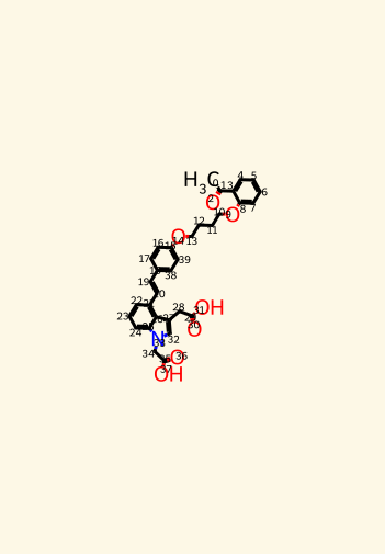 CC(=O)c1ccccc1OCCCCOc1ccc(/C=C/c2cccc3c2c(CC(=O)O)cn3CC(=O)O)cc1